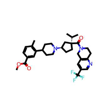 COC(=O)c1ccc(C)c(C2CCN([C@@H]3CC[C@@](C(=O)N4CCc5ncc(C(F)(F)F)cc5C4)(C(C)C)C3)CC2)c1